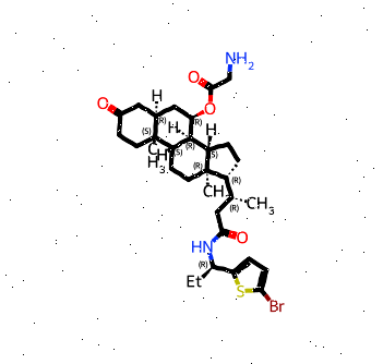 CC[C@@H](NC(=O)C[C@@H](C)[C@H]1CC[C@H]2[C@@H]3[C@H](OC(=O)CN)C[C@@H]4CC(=O)CC[C@]4(C)[C@H]3CC[C@]12C)c1ccc(Br)s1